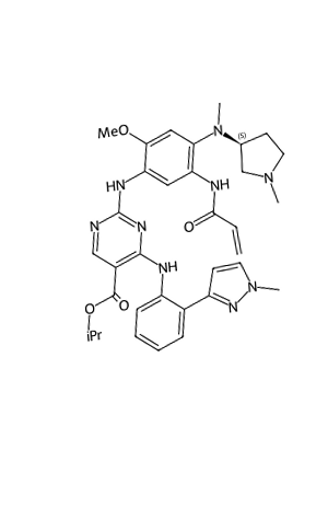 C=CC(=O)Nc1cc(Nc2ncc(C(=O)OC(C)C)c(Nc3ccccc3-c3ccn(C)n3)n2)c(OC)cc1N(C)[C@H]1CCN(C)C1